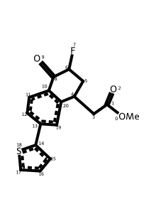 COC(=O)CC1CC(F)C(=O)c2ccc(-c3cccs3)cc21